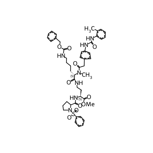 COC(=O)[C@H](CCNC(=O)[C@H](CCCCNC(=O)OCc1ccccc1)N(C)C(=O)Cc1ccc(NC(=O)Nc2ccccc2C)cc1)NC(=O)C1CCCN1S(=O)(=O)c1ccccc1